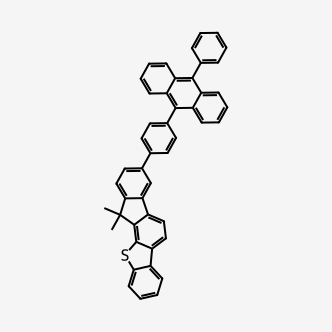 CC1(C)c2ccc(-c3ccc(-c4c5ccccc5c(-c5ccccc5)c5ccccc45)cc3)cc2-c2ccc3c(sc4ccccc43)c21